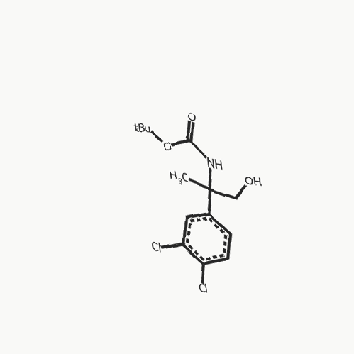 CC(C)(C)OC(=O)NC(C)(CO)c1ccc(Cl)c(Cl)c1